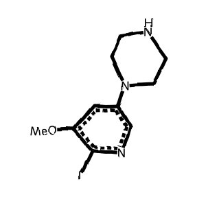 COc1cc(N2CCNCC2)cnc1I